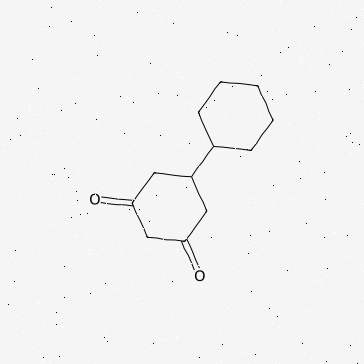 O=C1CC(=O)CC(C2CCCCC2)C1